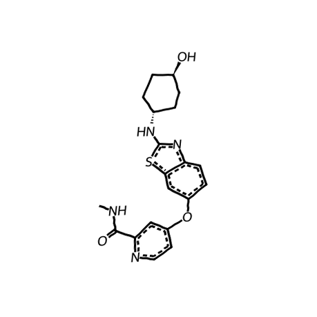 CNC(=O)c1cc(Oc2ccc3nc(N[C@H]4CC[C@H](O)CC4)sc3c2)ccn1